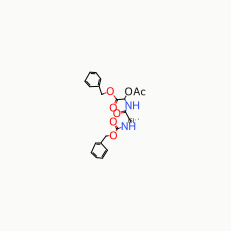 CC(=O)OC(NC(=O)[C@H](C)NC(=O)OCc1ccccc1)C(=O)OCc1ccccc1